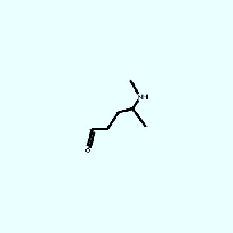 CNC(C)CC[C]=O